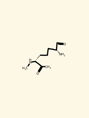 CN[C@H](CCC[C@@H](N)C=O)C(C)=O